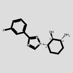 N[C@@H]1CCC[C@H](n2cnc(-c3cccc(F)c3)n2)[C@H]1O